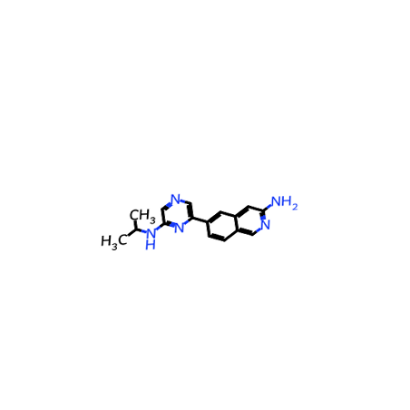 CC(C)Nc1cncc(-c2ccc3cnc(N)cc3c2)n1